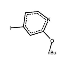 CCCCOc1cc(I)ccn1